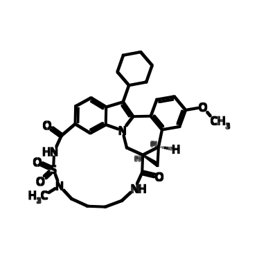 COc1ccc2c(c1)[C@H]1C[C@@]13Cn1c-2c(C2CCCCC2)c2ccc(cc21)C(=O)NS(=O)(=O)N(C)CCCCNC3=O